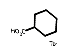 O=C(O)C1CCCCC1.[Tb]